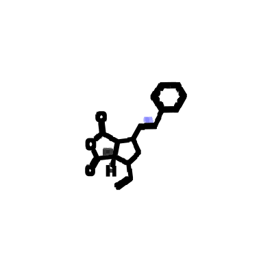 C=CC1CC(/C=C/c2ccccc2)C2C(=O)OC(=O)[C@@H]12